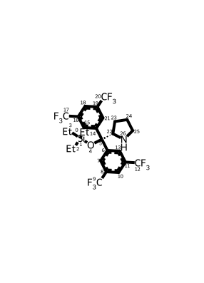 CC[Si](CC)(CC)OC(c1cc(C(F)(F)F)cc(C(F)(F)F)c1)(c1cc(C(F)(F)F)cc(C(F)(F)F)c1)[C@@H]1CCCN1